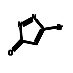 O=C1C=C(Br)N=N1